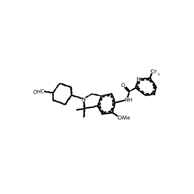 COc1cc2c(cc1NC(=O)c1cccc(C(F)(F)F)n1)CN(C1CCC(C=O)CC1)C2(C)C